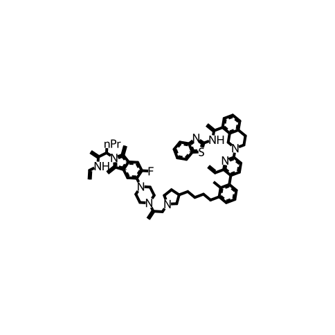 C=CNC(=C)C(CCC)n1c(=C)c2cc(F)c(N3CCN(C(=C)CN4CCC(CCCCc5cccc(-c6ccc(N7CCc8cccc(C(=C)Nc9nc%10ccccc%10s9)c8C7)nc6C=C)c5C)C4)CC3)cc2c1=C